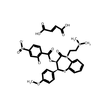 COc1ccc([C@@H]2Sc3ccccc3N(CCN(C)C)C(=O)[C@@H]2OC(=O)c2ccc([N+](=O)[O-])cc2Cl)cc1.O=C(O)C=CC(=O)O